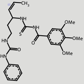 C/C=C\C(CCNC(=O)Nc1ccccc1)NC(=S)NC(=O)c1cc(OC)c(OC)c(OC)c1